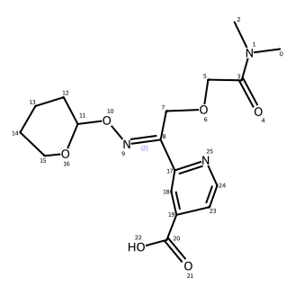 CN(C)C(=O)COC/C(=N\OC1CCCCO1)c1cc(C(=O)O)ccn1